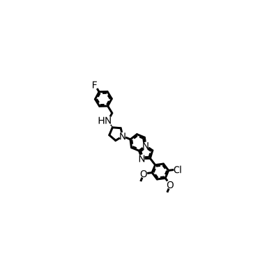 COc1cc(OC)c(-c2cn3ccc(N4CC[C@H](NCc5ccc(F)cc5)C4)cc3n2)cc1Cl